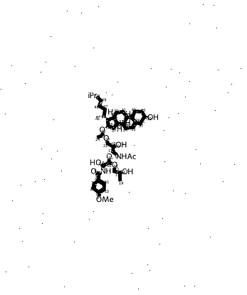 COc1ccc(C(=O)NC(O)C(OCC(C)O)OC(NC(C)=O)C(O)COC(C)O[C@H]2C[C@@H]3[C@H](CC[C@H]4[C@H]3CC=C3C[C@@H](O)CC[C@@]34C)[C@H]2[C@H](C)CCCC(C)C)cc1